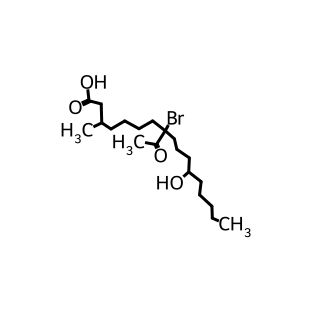 CCCCCC(O)CCCC(Br)(CCCCC(C)CC(=O)O)C(C)=O